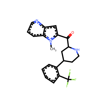 Cn1c(C(=O)C2CC(c3ccccc3C(F)(F)F)CCN2)cc2ncccc21